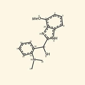 COc1cccc2[nH]c(C(S)c3ccccc3N(C)C)nc12